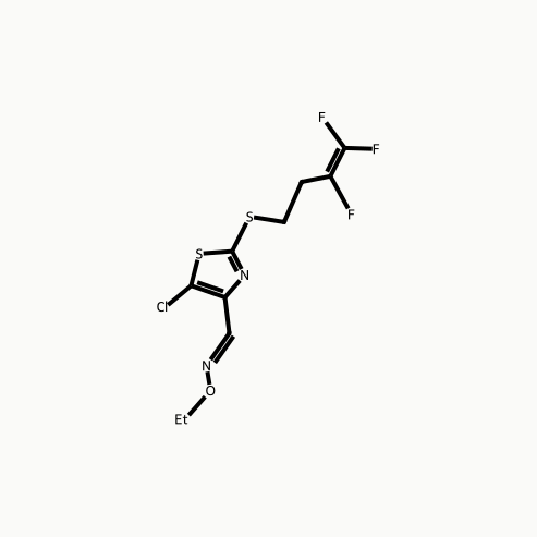 CCO/N=C/c1nc(SCCC(F)=C(F)F)sc1Cl